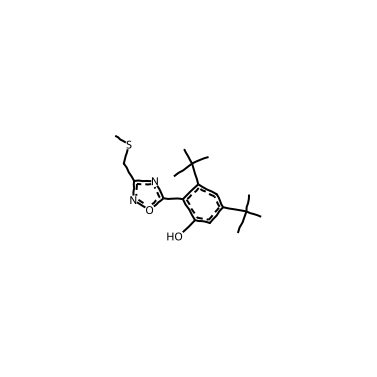 CSCc1noc(-c2c(O)cc(C(C)(C)C)cc2C(C)(C)C)n1